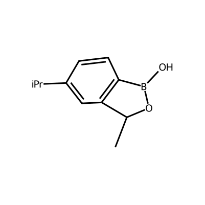 CC(C)c1ccc2c(c1)C(C)OB2O